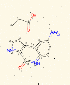 CCC(=O)O.Nc1ccc2[nH]c(=O)c3[nH]ccc3c2c1